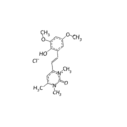 COc1cc(C=Cc2cc(C)n(C)c(=O)[n+]2C)c(O)c(OC)c1.[Cl-]